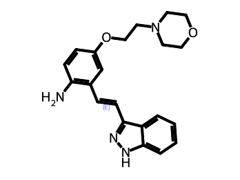 Nc1ccc(OCCN2CCOCC2)cc1/C=C/c1n[nH]c2ccccc12